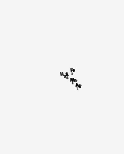 S.[Ag].[Fe].[Mn]